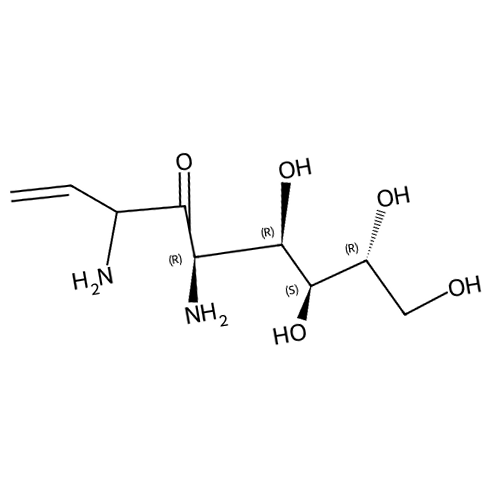 C=CC(N)C(=O)[C@H](N)[C@@H](O)[C@H](O)[C@H](O)CO